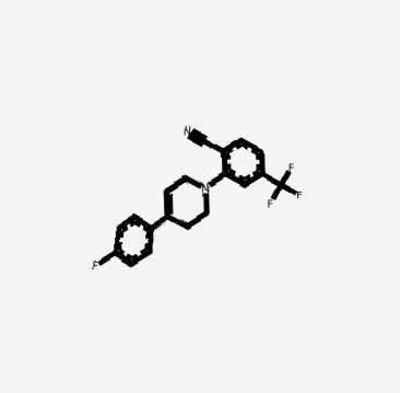 N#Cc1ccc(C(F)(F)F)cc1N1CC=C(c2ccc(F)cc2)CC1